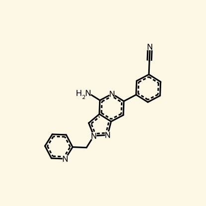 N#Cc1cccc(-c2cc3nn(Cc4ccccn4)cc3c(N)n2)c1